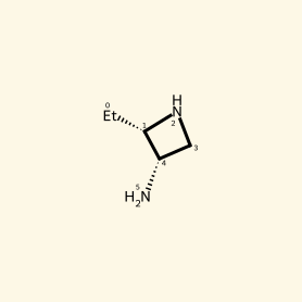 CC[C@@H]1NC[C@@H]1N